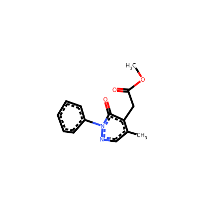 COC(=O)Cc1c(C)cnn(-c2ccccc2)c1=O